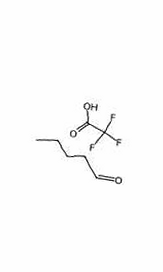 CCCCC=O.O=C(O)C(F)(F)F